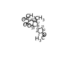 COc1ccc(-c2cc(C)c3cc(C(C)=O)c(=O)oc3c2)cc1